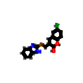 O=c1oc2ccc(Br)cc2cc1CSc1nc2ccccc2[nH]1